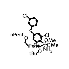 CCCCCOCC(C)CCC.COP(N)(OC)(C(=O)OC(C)(C)C)c1ccc(Sc2cccc(Cl)c2)cc1Cl